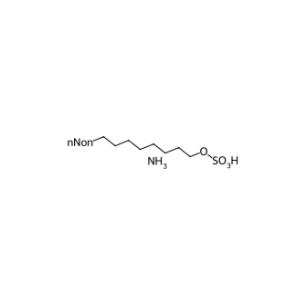 CCCCCCCCCCCCCCCCCOS(=O)(=O)O.N